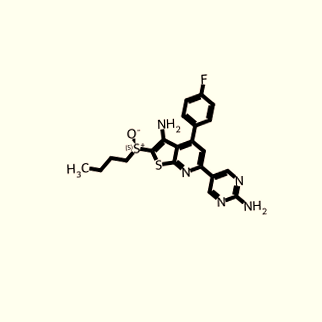 CCCC[S@@+]([O-])c1sc2nc(-c3cnc(N)nc3)cc(-c3ccc(F)cc3)c2c1N